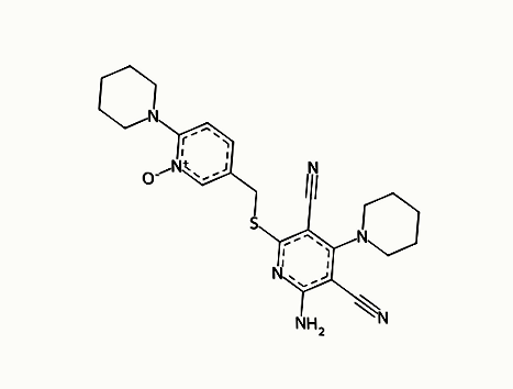 N#Cc1c(N)nc(SCc2ccc(N3CCCCC3)[n+]([O-])c2)c(C#N)c1N1CCCCC1